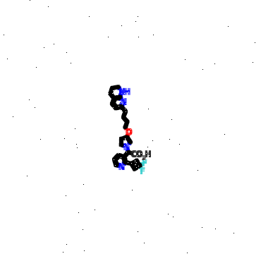 O=C(O)C(c1cccnc1C1CC(F)(F)C1)N1CCC(OCCCCc2ccc3c(n2)NCCC3)C1